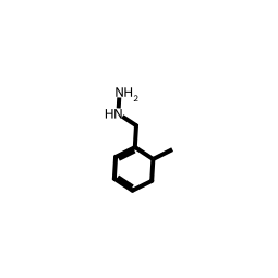 CC1CC=CC=C1CNN